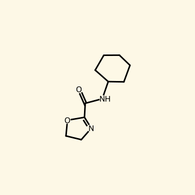 O=C(NC1CCCCC1)C1=NCCO1